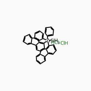 Cl.Cl.[SiH3][Zr]([c]1ccccc1)([c]1ccccc1)([c]1cccc2c1Cc1ccccc1-2)[c]1cccc2c1Cc1ccccc1-2